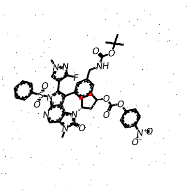 Cn1cc(-c2c(-c3cccc(CNC(=O)OC(C)(C)C)c3)c3c(ncc4c3n([C@@H]3CC[C@@H](OC(=O)Oc5ccc([N+](=O)[O-])cc5)C3)c(=O)n4C)n2S(=O)(=O)c2ccccc2)c(F)n1